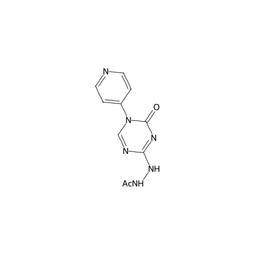 CC(=O)NNc1ncn(-c2ccncc2)c(=O)n1